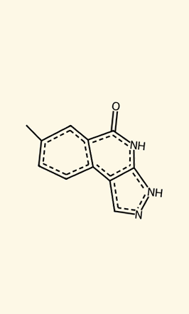 Cc1ccc2c(c1)c(=O)[nH]c1[nH]ncc12